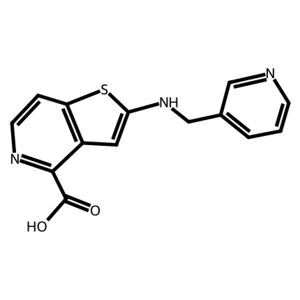 O=C(O)c1nccc2sc(NCc3cccnc3)cc12